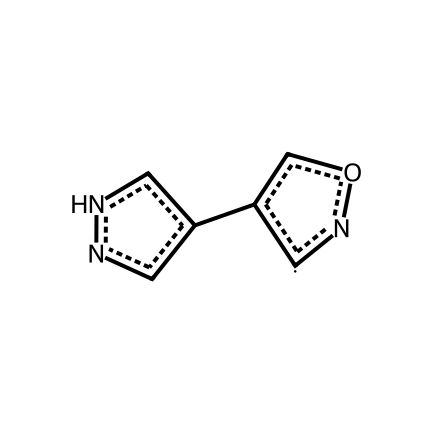 [c]1nocc1-c1cn[nH]c1